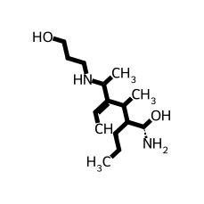 C/C=C(/C(C)NCCCO)C(C)C(CCC)[C@@H](N)O